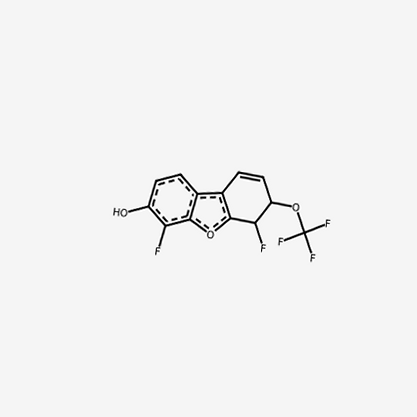 Oc1ccc2c3c(oc2c1F)C(F)C(OC(F)(F)F)C=C3